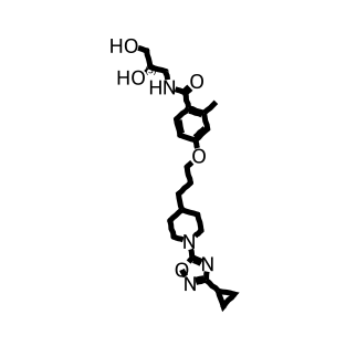 Cc1cc(OCCCC2CCN(c3nc(C4CC4)no3)CC2)ccc1C(=O)NC[C@H](O)CO